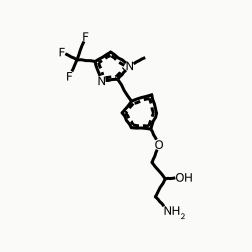 Cn1cc(C(F)(F)F)nc1-c1ccc(OCC(O)CN)cc1